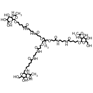 CC(=O)NC1C(COCCCCC(=O)NCCCNC(=O)CCOCC(C)(COCCC(=O)NCCCNC(=O)CCCCOCC2OC(CO)C(O)C(O)C2NC(C)=O)COCCC(=O)NCCCNC(=O)CCCCOC2OC(CO)C(O)C(O)C2NC(C)=O)OC(CO)C(O)C1O